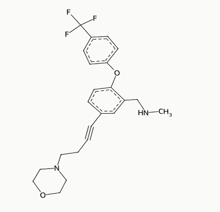 CNCc1cc(C#CCCN2CCOCC2)ccc1Oc1ccc(C(F)(F)F)cc1